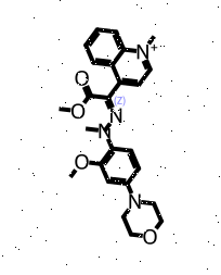 COC(=O)/C(=N\N(C)c1ccc(N2CCOCC2)cc1OC)c1cc[n+](C)c2ccccc12